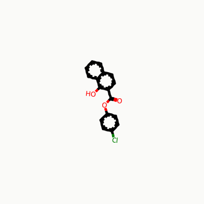 O=C(Oc1ccc(Cl)cc1)c1ccc2ccccc2c1O